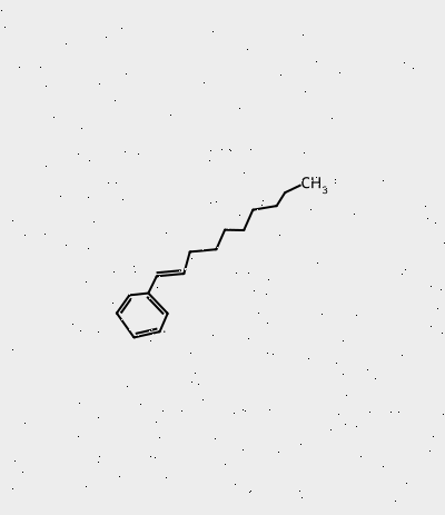 CCCCCCCC/C=C/c1c[c]ccc1